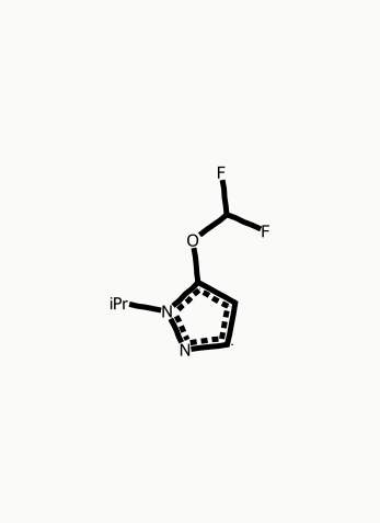 CC(C)n1n[c]cc1OC(F)F